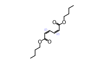 CCCCOC(=O)/C=C\C=C/C(=O)OCCCC